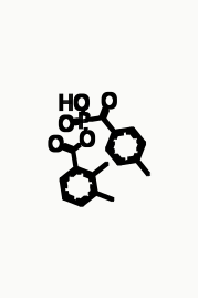 Cc1ccc(C(=O)P(=O)(O)OC(=O)c2cccc(C)c2C)cc1